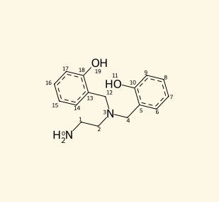 NCCN(Cc1ccccc1O)Cc1ccccc1O